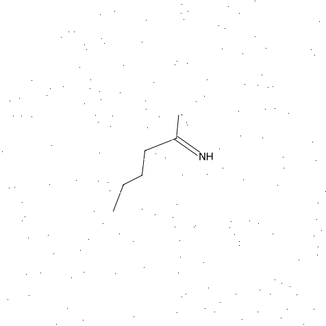 [CH2]C(=N)CCCC